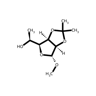 CO[C@@H]1O[C@@H]([C@H](C)O)[C@H]2OC(C)(C)O[C@@H]12